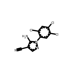 N#Cc1cnn(-c2cc(Cl)c(Cl)cc2Cl)c1N